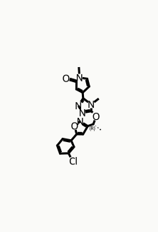 C[C@@H](Oc1nnc(-c2ccn(C)c(=O)c2)n1C)c1cc(-c2cccc(Cl)c2)on1